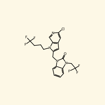 O=c1n(Cc2cc3cc(Cl)ncc3n2CCCC(F)(F)F)c2ccccc2n1CC(F)(F)F